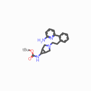 CC(C)(C)OC(=O)NC1C2CN(CCc3ccccc3-c3cccc(N)n3)CC21